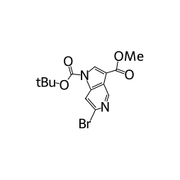 COC(=O)c1cn(C(=O)OC(C)(C)C)c2cc(Br)ncc12